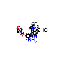 Nc1cc(OCCN2CCOCC2)ccc1Nc1ccc(CC=O)c(-n2ccc(C(F)(F)F)n2)n1